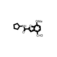 COc1ccc(C=O)c2cc(C(=O)NC3CCCC3)oc12